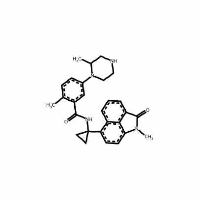 Cc1ccc(N2CCNCC2C)cc1C(=O)NC1(c2ccc3c4c(cccc24)C(=O)N3C)CC1